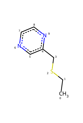 CCSCc1cnccn1